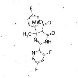 COC(=O)C1C(=O)NC(c2ncc(F)cc2F)=NC1(C)c1ccc(F)cc1